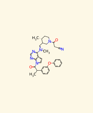 CC(C(=O)n1ccc2c(/[N+](C)=C/C3CN(C(=O)CC#N)CC[C@H]3C)ncnc21)c1cccc(Oc2ccccc2)c1